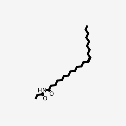 CCCCCCCC/C=C\CCCCCCCCCCCC(=O)NC([O])CC